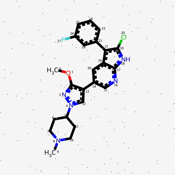 COc1nn(C2CCN(C)CC2)cc1-c1cnc2[nH]c(Cl)c(-c3cccc(F)c3)c2c1